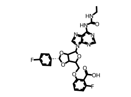 CCNC(=O)Nc1ncnc2c1ncn2C1OC(COc2cccc(F)c2C(=O)O)C2O[C@H](c3ccc(F)cc3)OC21